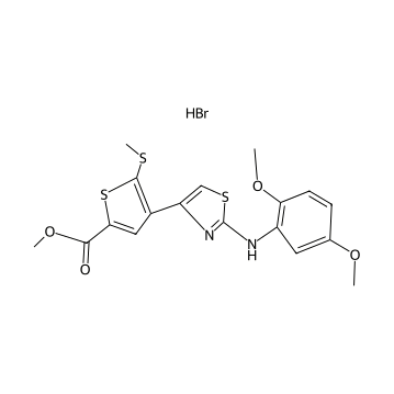 Br.COC(=O)c1cc(-c2csc(Nc3cc(OC)ccc3OC)n2)c(SC)s1